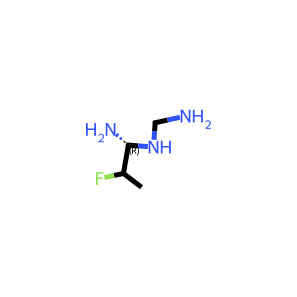 CC(F)[C@H](N)NCN